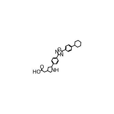 O=C(O)CC1CNC(c2ccc(-c3noc(-c4ccc(C5CCCCC5)cc4)n3)cc2)C1